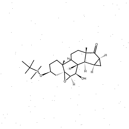 CC(C)(C)[Si](C)(C)O[C@H]1CC[C@]2(C)[C@H]3CC[C@]4(C)C(=O)[C@H]5C[C@H]5[C@H]4[C@@H]3[C@@H](O)[C@H]3O[C@]32C1